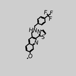 COc1ccc2cc(CNCc3ccc(C(F)(F)F)cc3)c(-c3nccs3)nc2c1